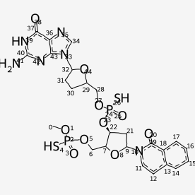 COP(=O)(S)OCC1OC(n2ccc3ccccc3c2=O)C[C@@H]1OP(=O)(S)OCC1CCC(n2cnc3c(=O)[nH]c(N)nc32)O1